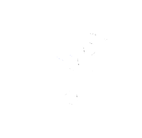 COc1ccc2c(c1OC)CCn1c-2c(C)c(OCc2ccccc2)cc1=NCC1CCCCO1